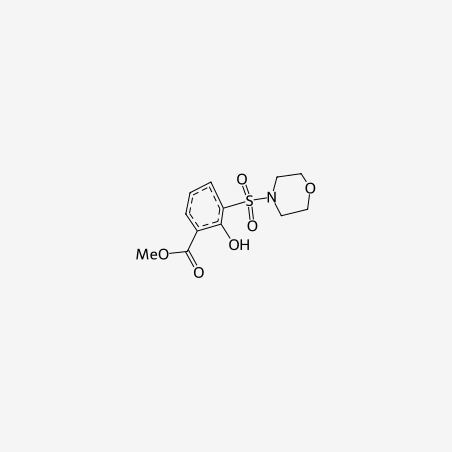 COC(=O)c1cccc(S(=O)(=O)N2CCOCC2)c1O